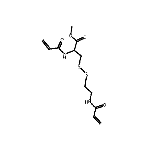 C=CC(=O)NCCSSCC(NC(=O)C=C)C(=O)OC